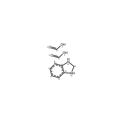 O=CO.O=CO.c1cnc2c(c1)NCN2